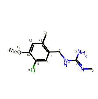 C/N=C(\N)NCc1cc(Cl)c(OC)cc1C